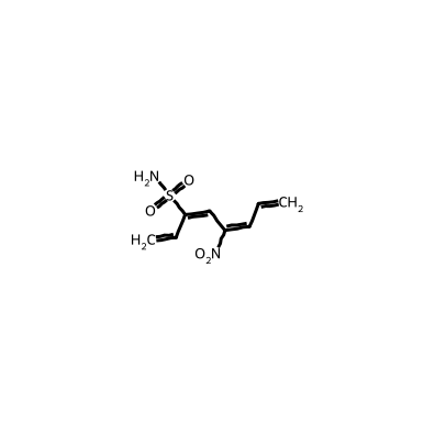 C=C/C=C(\C=C(/C=C)S(N)(=O)=O)[N+](=O)[O-]